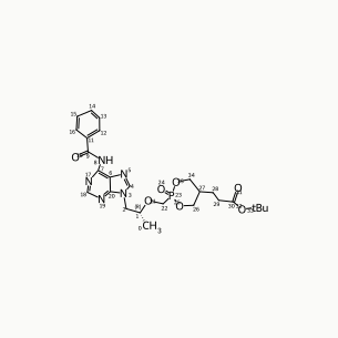 C[C@H](Cn1cnc2c(NC(=O)c3ccccc3)ncnc21)OCP1(=O)OCC(CCC(=O)OC(C)(C)C)CO1